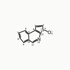 [O-][s+]1ccc2c3ccccc3cnc21